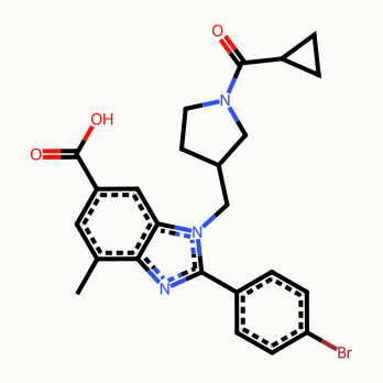 Cc1cc(C(=O)O)cc2c1nc(-c1ccc(Br)cc1)n2CC1CCN(C(=O)C2CC2)C1